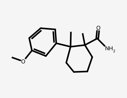 COc1cccc(C2(C)CCCCC2(C)C(N)=O)c1